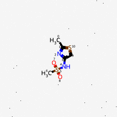 Cc1nc(NS(C)(=O)=O)cs1